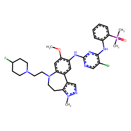 COc1cc2c(cc1Nc1ncc(Br)c(Nc3ccccc3P(C)(C)=O)n1)-c1cnn(C)c1CCN2CCN1CCC(F)CC1